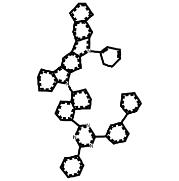 C1=CCCC(n2c3cc4ccccc4cc3c3cc4c5ccccc5n(-c5cccc6c(-c7nc(-c8ccccc8)nc(-c8cccc(-c9ccccc9)c8)n7)cccc56)c4cc32)=C1